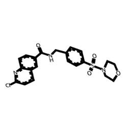 O=C(NCc1ccc(S(=O)(=O)N2CCOCC2)cc1)c1ccc2nc(Cl)ccc2c1